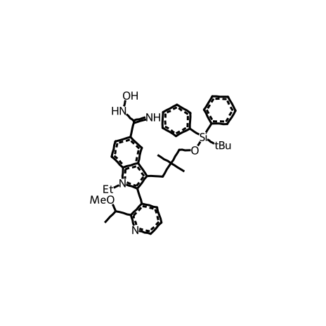 CCn1c(-c2cccnc2C(C)OC)c(CC(C)(C)CO[Si](c2ccccc2)(c2ccccc2)C(C)(C)C)c2cc(C(=N)NO)ccc21